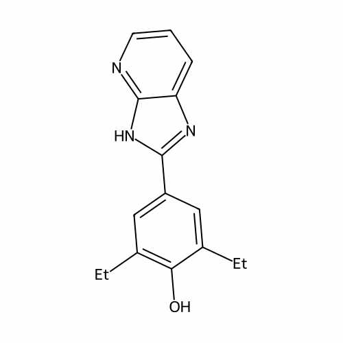 CCc1cc(-c2nc3cccnc3[nH]2)cc(CC)c1O